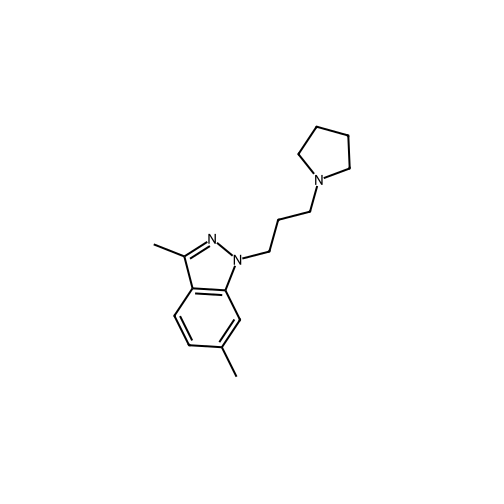 Cc1ccc2c(C)nn(CCCN3CCCC3)c2c1